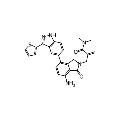 C=C(CN1Cc2c(-c3ccc4[nH]nc(-c5cccs5)c4c3)ccc(N)c2C1=O)C(=O)N(C)C